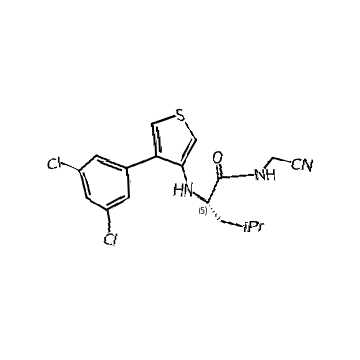 CC(C)C[C@H](Nc1cscc1-c1cc(Cl)cc(Cl)c1)C(=O)NCC#N